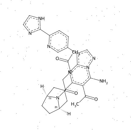 CC(=O)OCC(=O)N1[C@@H]2CC[C@H]1CC(c1nc3c(-c4ccc(-c5ncc[nH]5)nc4)cnn3c(N)c1C(C)=O)C2